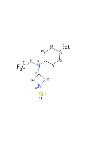 CCC1CCC(N(CC(F)(F)F)C2CN(S)C2)CC1